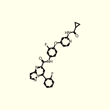 O=C(Nc1ccc(Oc2ccnc(NC(=O)C3CC3)c2)c(F)c1)c1cc(-c2ccccc2F)n2nccc2n1